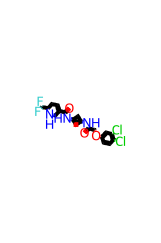 O=C(COc1ccc(Cl)c(Cl)c1)NC12CC(NC(=O)C3=CCC(C(F)F)NC3)(C1)C2